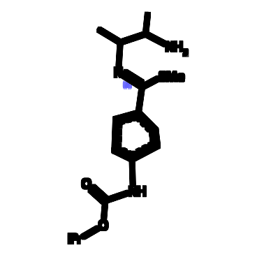 CS/C(=N\C(C)C(C)N)c1ccc(NC(=O)OC(C)C)cc1